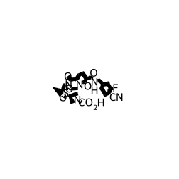 N#Cc1ccc(CNC(=O)c2ccc3n(c2=O)CCN(CC2(S(=O)(=O)C4CN(C(=O)O)C4)CC2)C3=O)cc1F